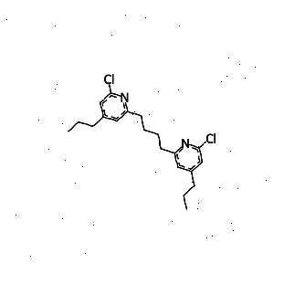 CCCc1cc(Cl)nc(CCCCc2cc(CCC)cc(Cl)n2)c1